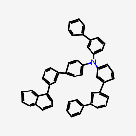 c1ccc(-c2cccc(-c3cccc(N(c4ccc(-c5cccc(-c6cccc7ccccc67)c5)cc4)c4cccc(-c5ccccc5)c4)c3)c2)cc1